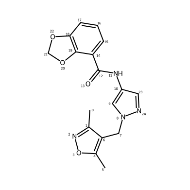 Cc1noc(C)c1Cn1cc(NC(=O)c2cccc3c2OCO3)cn1